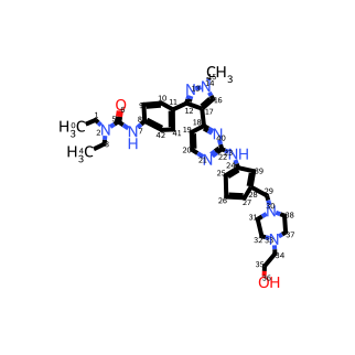 CCN(CC)C(=O)Nc1ccc(-c2nn(C)cc2-c2ccnc(Nc3cccc(CN4CCN(CCO)CC4)c3)n2)cc1